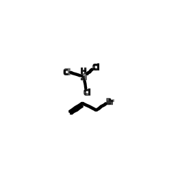 C=CCBr.Cl[SiH](Cl)Cl